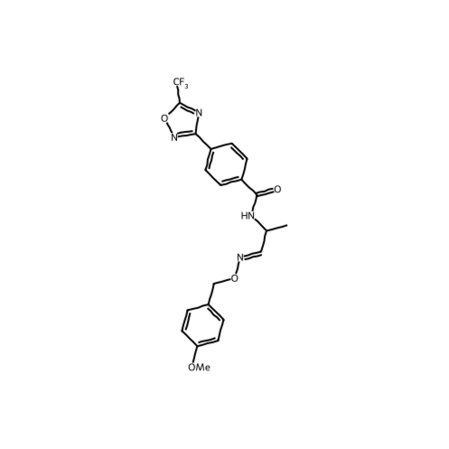 COc1ccc(CON=CC(C)NC(=O)c2ccc(-c3noc(C(F)(F)F)n3)cc2)cc1